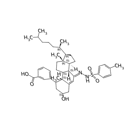 Cc1ccc(S(=O)(=O)NN=C2C=C3C[C@@H](O)CC(c4cccc(C(=O)O)c4)[C@]3(C)[C@H]3CC[C@]4(C)[C@@H]([C@H](C)CCCC(C)C)CC[C@H]4[C@H]23)cc1